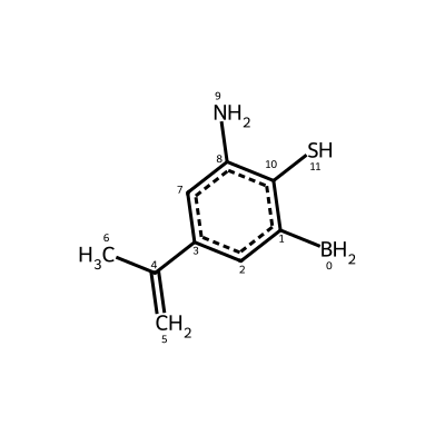 Bc1cc(C(=C)C)cc(N)c1S